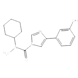 CN(C(=O)n1cnc(-c2cccc(O)c2)c1)C1CCCCC1